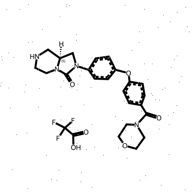 O=C(O)C(F)(F)F.O=C(c1ccc(Oc2ccc(N3C[C@@H]4CNCCN4C3=O)cc2)cc1)N1CCOCC1